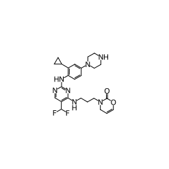 O=C1OC=CCN1CCCNc1nc(Nc2ccc(N3CCNCC3)cc2C2CC2)ncc1C(F)F